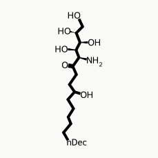 CCCCCCCCCCCCCCCC(O)CCC(=O)[C@H](N)[C@@H](O)[C@H](O)[C@H](O)CO